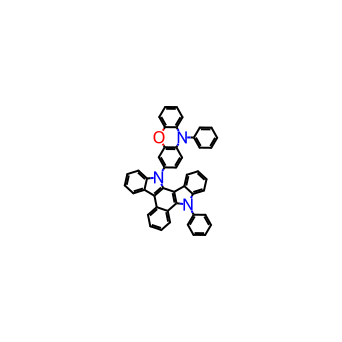 c1ccc(N2c3ccccc3Oc3cc(-n4c5ccccc5c5c6ccccc6c6c(c7ccccc7n6-c6ccccc6)c54)ccc32)cc1